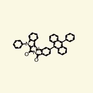 O=c1c2ccc(-c3c4ccccc4c(-c4ccccc4)c4ccccc34)cc2n2c3c4ccccc4n(-c4ccccc4)c3c(=O)n12